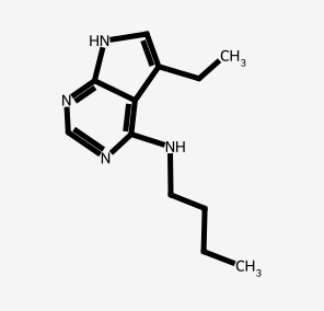 CCCCNc1ncnc2[nH]cc(CC)c12